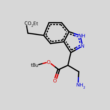 CCOC(=O)Cc1ccc2[nH]nc(C(CN)C(=O)OC(C)(C)C)c2c1